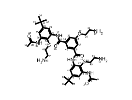 CC(=O)Nc1cc(C(C)(C)C)cc(NC(=O)c2cc(OCCN)cc(C(=O)Nc3cc(C(C)(C)C)cc(NC(C)=O)c3SCCN)c2)c1SCCN